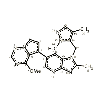 COc1ncnn2ccc(-c3cnc4nc(C)n(Cc5c(C)cnn5C)c4c3)c12